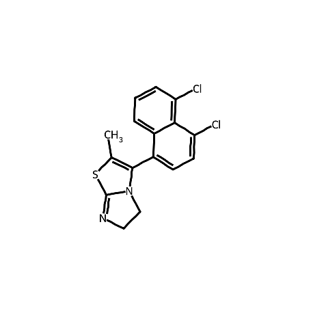 CC1=C(c2ccc(Cl)c3c(Cl)cccc23)N2CCN=C2S1